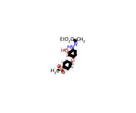 CCOC(=O)/C(C)=N\Nc1ccc(Oc2ccc(S(C)(=O)=O)cc2)cc1O